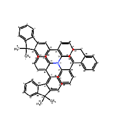 CC1(C)c2ccccc2-c2cc(C3=C(N(c4ccccc4C4=CCCc5ccccc54)c4ccccc4-c4cccc5c4-c4ccccc4C5(C)C)CCC=C3)ccc21